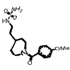 COc1ccc(C(=O)N2CCC(CCNS(N)(=O)=O)CC2)cc1